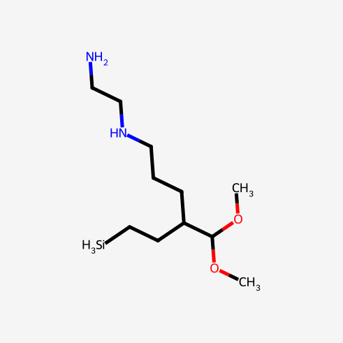 COC(OC)C(CC[SiH3])CCCNCCN